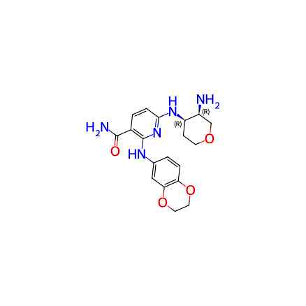 NC(=O)c1ccc(N[C@@H]2CCOC[C@@H]2N)nc1Nc1ccc2c(c1)OCCO2